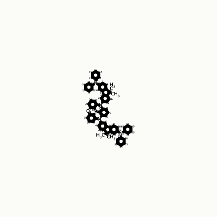 CC1(C)c2ccc(N(c3ccccc3)c3ccccc3)cc2-c2cc(N3c4cccc5c4B4c6c(cccc6N(c6ccc7c(c6)-c6ccc(N(c8ccccc8)c8ccccc8)cc6C7(C)C)c6cccc3c64)O5)ccc21